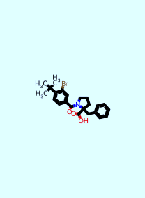 CC(C)(C)c1ccc(C(=O)N2CCCC2(Cc2ccccc2)C(=O)O)cc1Br